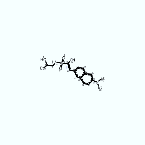 CCC(O)CNS(=O)(=O)/C(C#N)=C/c1ccc2cc(N(CC)CC)ccc2c1